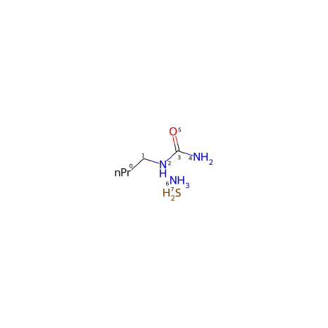 CCCCNC(N)=O.N.S